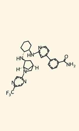 NC(=O)c1cccc(-c2ccnc(N[C@@H]3CCCC[C@H]3N[C@H]3C[C@@H]4C[C@H]3N(c3cnc(C(F)(F)F)cn3)C4)c2)c1